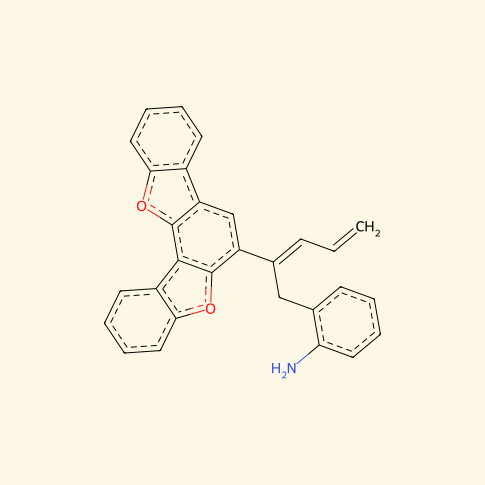 C=C/C=C(\Cc1ccccc1N)c1cc2c3ccccc3oc2c2c1oc1ccccc12